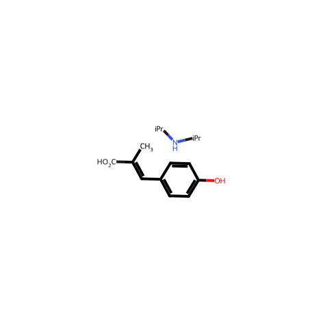 CC(=Cc1ccc(O)cc1)C(=O)O.CC(C)NC(C)C